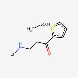 CCNCCC(=O)c1cccs1.CS(=O)(=O)O